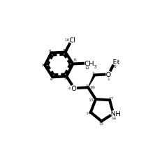 CCOC[C@H](Oc1cccc(Cl)c1C)C1CCNC1